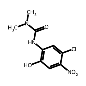 CN(C)C(=O)Nc1cc(Cl)c([N+](=O)[O-])cc1O